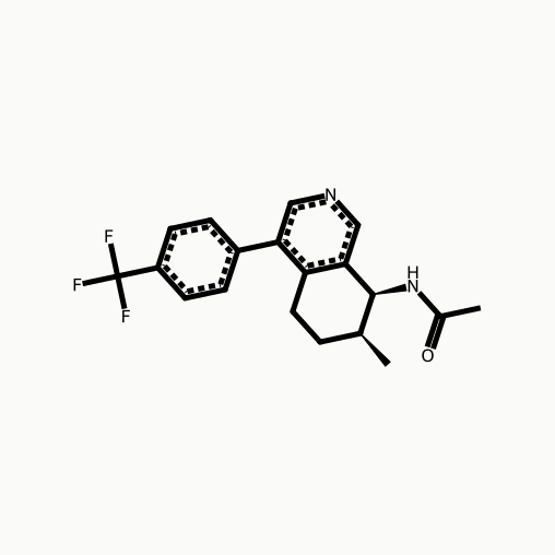 CC(=O)N[C@@H]1c2cncc(-c3ccc(C(F)(F)F)cc3)c2CC[C@@H]1C